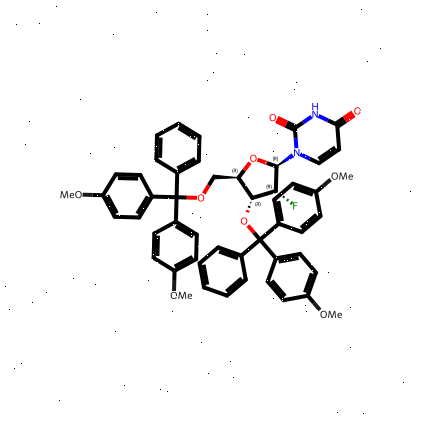 COc1ccc(C(OC[C@H]2O[C@@H](n3ccc(=O)[nH]c3=O)[C@H](F)[C@@H]2OC(c2ccccc2)(c2ccc(OC)cc2)c2ccc(OC)cc2)(c2ccccc2)c2ccc(OC)cc2)cc1